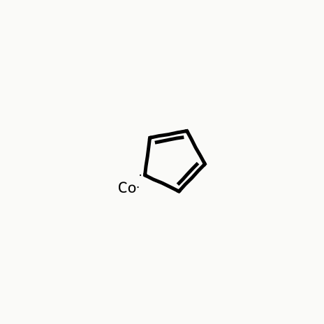 [CH]1C=CC=C1.[Co]